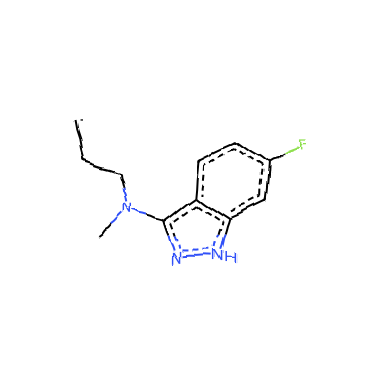 [CH2]CCN(C)c1n[nH]c2cc(F)ccc12